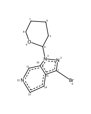 Brc1nn(C2CCCCO2)c2cnccc12